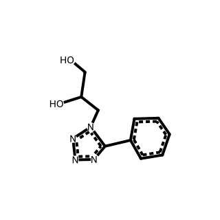 OCC(O)Cn1nnnc1-c1ccccc1